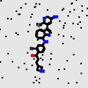 CCc1cc(Nc2ccccc3c(C4=CC(=N)CN=C4C(F)(F)F)cnc2-3)ccc1C(=O)CCC1CNC1